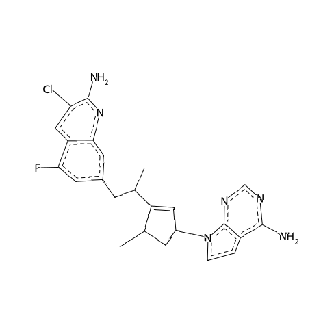 CC(Cc1cc(F)c2cc(Cl)c(N)nc2c1)C1=CC(n2ccc3c(N)ncnc32)CC1C